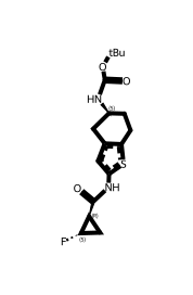 CC(C)(C)OC(=O)N[C@H]1CCc2sc(NC(=O)[C@H]3C[C@@H]3F)cc2C1